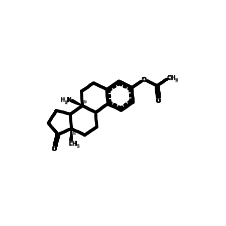 CC(=O)Oc1ccc2c(c1)CC[C@]1(N)C2CC[C@]2(C)C(=O)CCC12